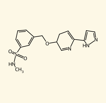 CNS(=O)(=O)c1cccc(COC2C=NC(c3ccn[nH]3)=CC2)c1